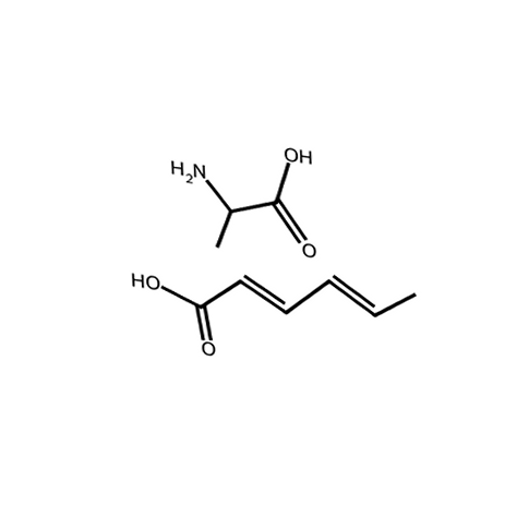 CC(N)C(=O)O.CC=CC=CC(=O)O